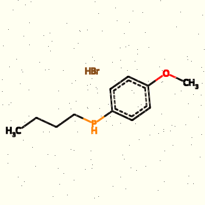 Br.CCCCPc1ccc(OC)cc1